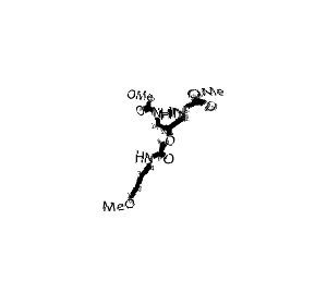 COCCCCNC(=O)COC(CNC(=O)OC)CNC(=O)OC